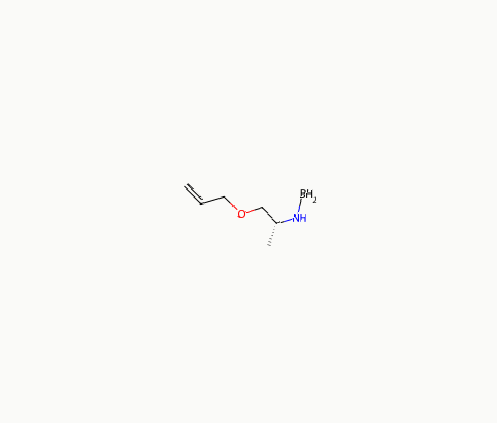 BN[C@H](C)COCC=C